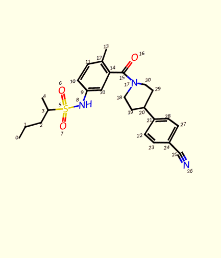 CCCC(C)S(=O)(=O)Nc1ccc(C)c(C(=O)N2CCC(c3ccc(C#N)cc3)CC2)c1